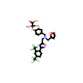 CC(C)(Sc1ccc(CN(Cc2ccco2)Cc2cc(-c3ccc(C(F)(F)F)cc3C(F)(F)F)no2)cc1)C(=O)O